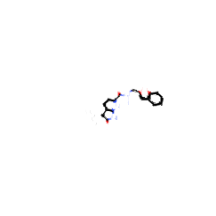 CC1(C)C(=O)Nc2nc(C(=O)NCc3cc4ccccc4o3)ccc21